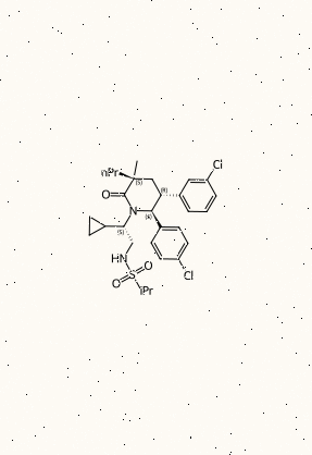 CCC[C@@]1(C)C[C@H](c2cccc(Cl)c2)[C@@H](c2ccc(Cl)cc2)N([C@H](CNS(=O)(=O)C(C)C)C2CC2)C1=O